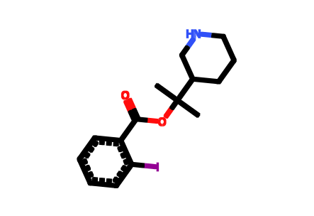 CC(C)(OC(=O)c1ccccc1I)C1CCCNC1